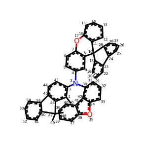 Cc1c(N(c2ccc3c(c2)C2(c4ccccc4O3)c3ccccc3-c3ccccc32)c2cccc3oc4ccccc4c23)ccc2c1C(C)(C)c1ccccc1-2